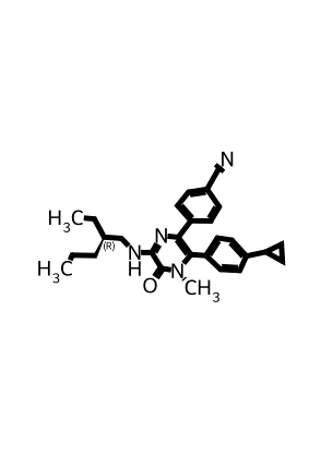 CCC[C@@H](CC)CNc1nc(-c2ccc(C#N)cc2)c(-c2ccc(C3CC3)cc2)n(C)c1=O